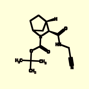 CC(C)(C)OC(=O)N1C2CC[C@@H](C2)[C@H]1C(=O)NCC#N